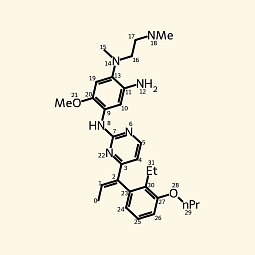 C/C=C(/c1ccnc(Nc2cc(N)c(N(C)CCNC)cc2OC)n1)c1cccc(OCCC)c1CC